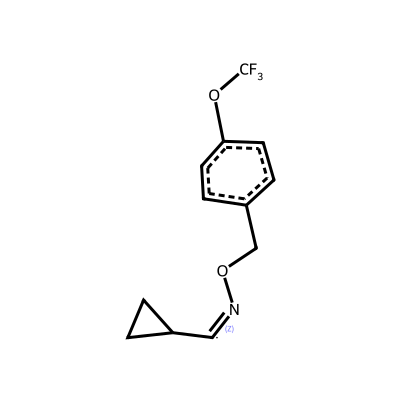 FC(F)(F)Oc1ccc(CO/N=[C]\C2CC2)cc1